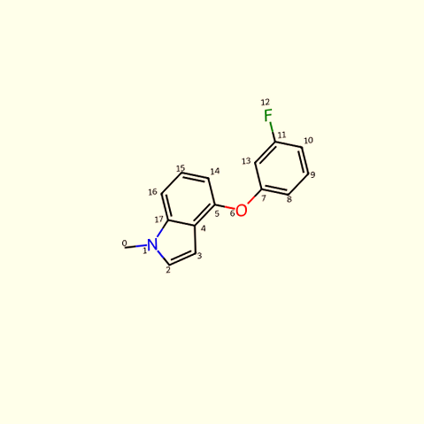 Cn1ccc2c(Oc3cccc(F)c3)cccc21